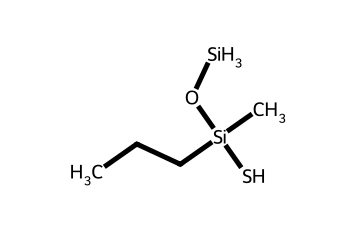 CCC[Si](C)(S)O[SiH3]